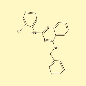 Clc1ccccc1Nc1nc(NCc2ccccc2)c2ccccc2n1